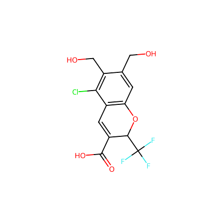 O=C(O)C1=Cc2c(cc(CO)c(CO)c2Cl)OC1C(F)(F)F